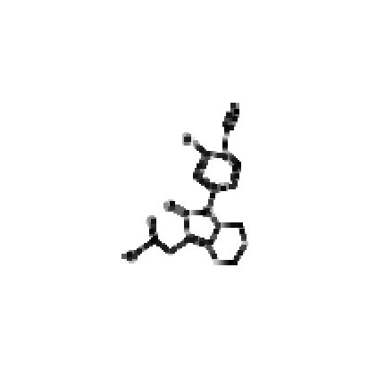 N#Cc1ccc(N2C(=O)C(CC(=O)O)=C3CCCCC32)cc1Br